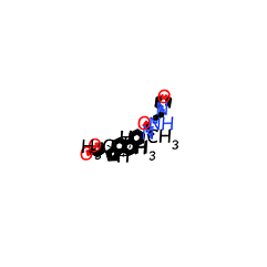 CN(C(=O)NCCN1CCOCC1)[C@H]1CC[C@@]2(C)[C@H](CC[C@H]3C4=CC[C@H](C5=CC(=O)OC5)[C@@]4(C)CC[C@@H]32)C1